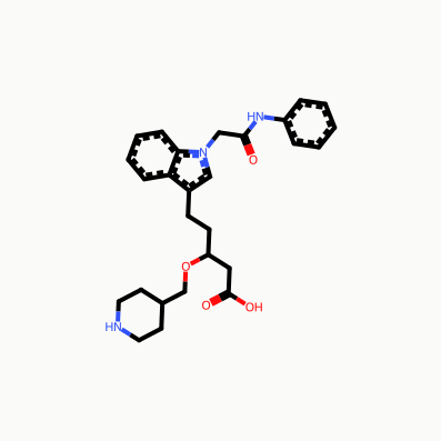 O=C(O)CC(CCc1cn(CC(=O)Nc2ccccc2)c2ccccc12)OCC1CCNCC1